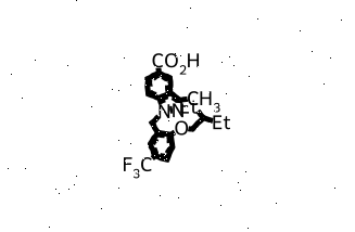 CCC(CC)COc1ccc(C(F)(F)F)cc1Cn1nc(C)c2cc(C(=O)O)ccc21